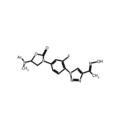 CC(=O)N(C)C1CN(c2ccc(-n3cc(C(C)=NO)nn3)c(F)c2)C(=O)O1